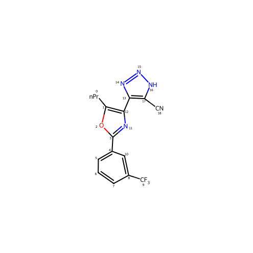 CCCc1oc(-c2cccc(C(F)(F)F)c2)nc1-c1nn[nH]c1C#N